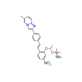 Cc1ccc2nc(-c3ccc(C=Cc4ccc([N+](=O)[O-])cc4OC(C)O[Si](C)(C)C(C)(C)C)cc3)cn2c1